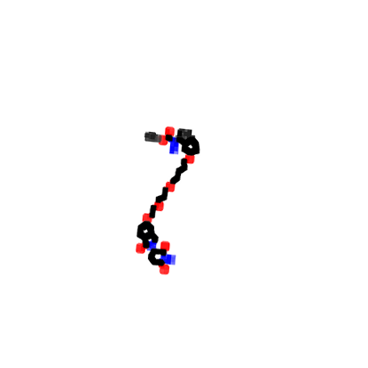 C[C@@H](NC(=O)OC(C)(C)C)c1cccc(OCCCCCOCCCOCCOc2ccc3c(c2)CN(C2CCC(=O)NC2=O)C3=O)c1